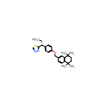 CC1(C)CCC(C)(C)c2cc(COc3ccc([C@@H](CC(=O)O)c4nncs4)cc3)ccc21